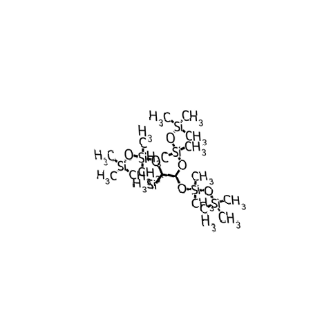 C[Si](C)(C)O[Si](C)(C)O[C]([SiH3])C(O[Si](C)(C)O[Si](C)(C)C)O[Si](C)(C)O[Si](C)(C)C